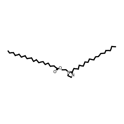 CCCCCCCCCCCCCCCCCC(=O)OCCN1CCN=C1CCCCCCCCCCCCCCCC